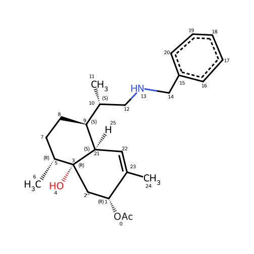 CC(=O)O[C@@H]1[C][C@@]2(O)[C@H](C)CC[C@@H]([C@H](C)CNCc3ccccc3)[C@H]2C=C1C